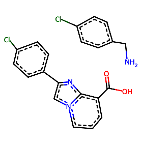 NCc1ccc(Cl)cc1.O=C(O)c1cccn2cc(-c3ccc(Cl)cc3)nc12